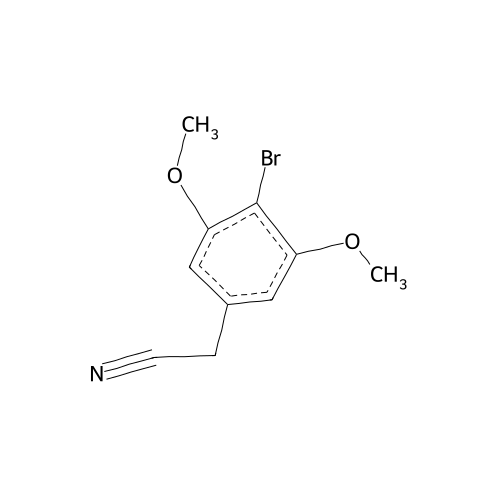 COc1cc(CC#N)cc(OC)c1Br